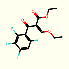 CCOC=C(C(=O)OCC)C(=O)c1c(F)cc(F)c(F)c1F